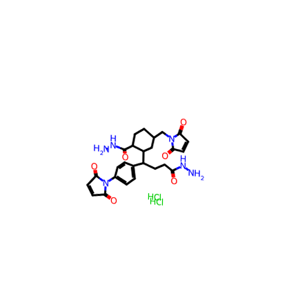 Cl.Cl.NNC(=O)CCC(c1ccc(N2C(=O)C=CC2=O)cc1)C1CC(CN2C(=O)C=CC2=O)CCC1C(=O)NN